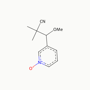 COC(c1ccc[n+]([O-])c1)C(C)(C)C#N